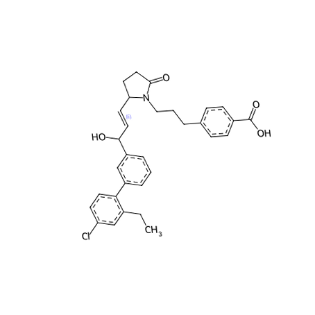 CCc1cc(Cl)ccc1-c1cccc(C(O)/C=C/C2CCC(=O)N2CCCc2ccc(C(=O)O)cc2)c1